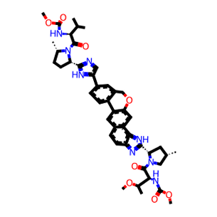 COC(=O)N[C@H](C(=O)N1[C@@H](C)CC[C@H]1c1ncc(-c2ccc3c(c2)COc2cc4c(ccc5nc([C@@H]6C[C@H](C)CN6C(=O)[C@@H](NC(=O)OC)C(C)OC)[nH]c54)cc2-3)[nH]1)C(C)C